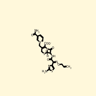 C=CCON=C(C(=O)NC1C(=O)N2C(C(=O)[O-])=C(C[n+]3cccc(C(N)=O)c3)CS[C@@H]12)c1csc(N)n1